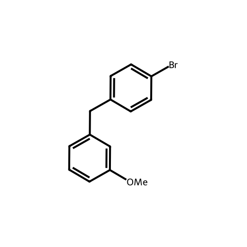 COc1cccc(Cc2ccc(Br)cc2)c1